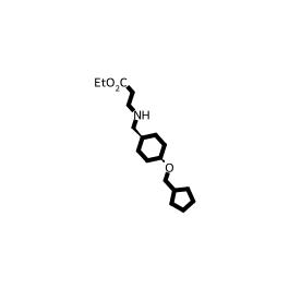 CCOC(=O)CCNC[C@H]1CC[C@H](OCC2CCCC2)CC1